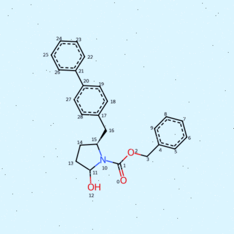 O=C(OCc1ccccc1)N1C(O)CC[C@H]1Cc1ccc(-c2ccccc2)cc1